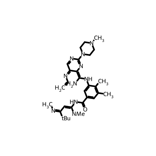 C=C/N=C1/C=NC(N2CCN(C)CC2)=N/C1=C(/N)Nc1cc(C(=O)N/C(=C/C(=N\C)C(C)(C)C)NC)cc(C)c1C